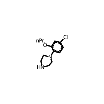 CCCOc1cc(Cl)ccc1N1CCNCC1